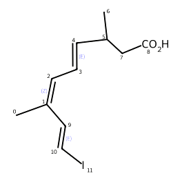 CC(=C/C=C/C(C)CC(=O)O)/C=C/I